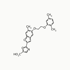 Cc1ccc(C)c(OCCOc2cc3cc(-c4ncc(C(=O)O)o4)oc3cc2C)c1